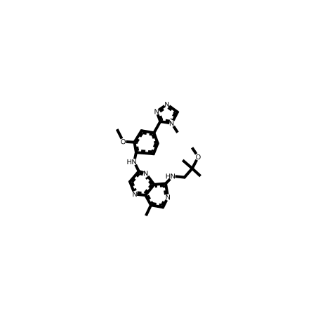 COc1cc(-c2nncn2C)ccc1Nc1cnc2c(C)cnc(NCC(C)(C)OC)c2n1